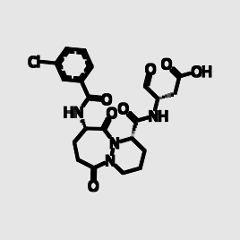 O=C[C@H](CC(=O)O)NC(=O)[C@@H]1CCCN2C(=O)CC[C@H](NC(=O)c3cccc(Cl)c3)C(=O)N12